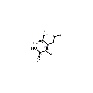 CCC/C(C(=O)O)=C(\C)C(=O)O